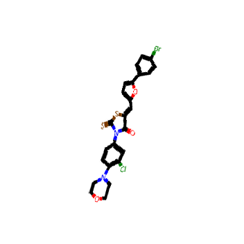 O=C1C(=Cc2ccc(-c3ccc(Br)cc3)o2)SC(=S)N1c1ccc(N2CCOCC2)c(Cl)c1